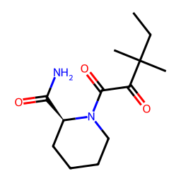 CCC(C)(C)C(=O)C(=O)N1CCCC[C@H]1C(N)=O